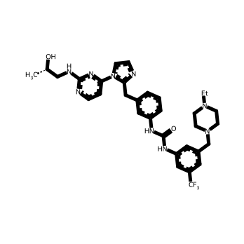 CCN1CCN(Cc2cc(NC(=O)Nc3cccc(Cc4nccn4-c4ccnc(NC[C@H](C)O)n4)c3)cc(C(F)(F)F)c2)CC1